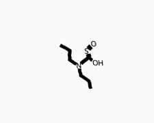 CCCN(CCC)C(O)=S=O